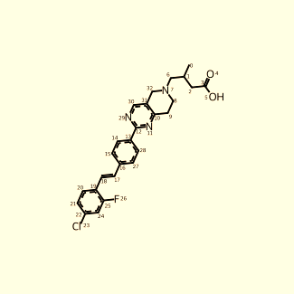 CC(CC(=O)O)CN1CCc2nc(-c3ccc(C=Cc4ccc(Cl)cc4F)cc3)ncc2C1